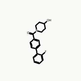 O=C(c1ccc(-c2ccccc2F)cc1)N1CCC(O)CC1